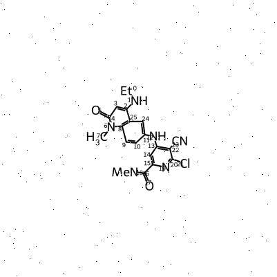 CCNc1cc(=O)n(C)c2ccc(Nc3cc(C(=O)NC)nc(Cl)c3C#N)cc12